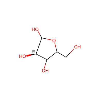 OCC1OC(O)[C@H](O)C1O